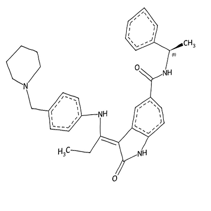 CCC(Nc1ccc(CN2CCCCC2)cc1)=C1C(=O)Nc2ccc(C(=O)N[C@H](C)c3ccccc3)cc21